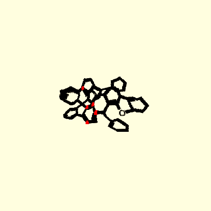 c1ccc(-c2ccc3c(c2)Sc2ccccc2C32c3ccccc3-c3ccc(C(c4ccccc4)c4c(N(c5ccccc5)c5ccccc5)ccc5c4oc4ccccc45)cc32)cc1